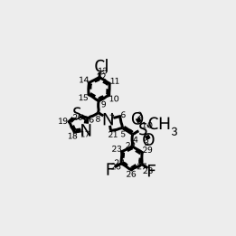 CS(=O)(=O)C(=C1CN(C(c2ccc(Cl)cc2)c2nccs2)C1)c1cc(F)cc(F)c1